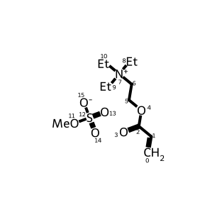 C=CC(=O)OCC[N+](CC)(CC)CC.COS(=O)(=O)[O-]